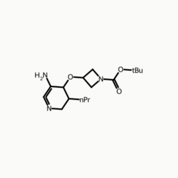 CCCC1CN=C=C(N)C1OC1CN(C(=O)OC(C)(C)C)C1